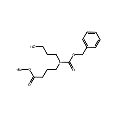 CC(C)(C)OC(=O)CCCN(CCCO)C(=O)OCc1ccccc1